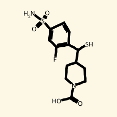 NS(=O)(=O)c1ccc(C(S)C2CCN(C(=O)O)CC2)c(F)c1